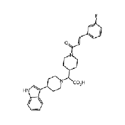 O=C(O)C(C1CCN(C(=O)C=Cc2cccc(F)c2)CC1)N1CCC(c2c[nH]c3ccccc23)CC1